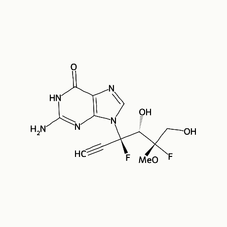 C#C[C@@](F)([C@H](O)[C@@](F)(CO)OC)n1cnc2c(=O)[nH]c(N)nc21